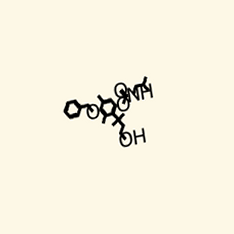 Cc1cc(OC(=O)NCC(C)C)c(C(C)(C)CCO)c(C)c1OCc1ccccc1